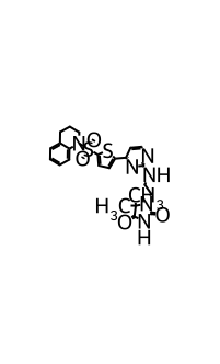 CC1(C)C(=O)NC(=O)N1CCNc1nccc(-c2ccc(S(=O)(=O)N3CCCc4ccccc43)s2)n1